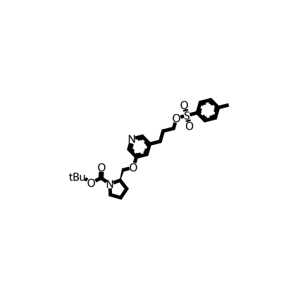 Cc1ccc(S(=O)(=O)OCCCc2cncc(OC[C@H]3CCCN3C(=O)OC(C)(C)C)c2)cc1